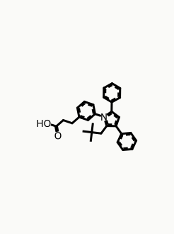 CC(C)(C)Cc1c(-c2ccccc2)cc(-c2ccccc2)n1-c1cccc(CCC(=O)O)c1